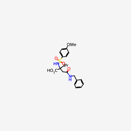 COc1ccc(S(=O)(=O)NC(CC(=O)NCc2ccccc2)(C(=O)O)C(C)C)cc1